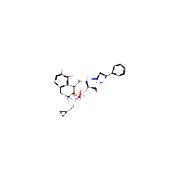 Cc1c([C@@H]2Oc3c(O)ccc4c3[C@@]23CCN(CC2CC2)[C@H](C4)[C@@]3(C)O)[nH]c2cc(-c3ccccc3)nn2c1=O